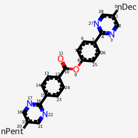 CCCCCCCCCCc1cnc(-c2ccc(OC(=O)c3ccc(-c4ncc(CCCCC)cn4)cc3)cc2)nc1